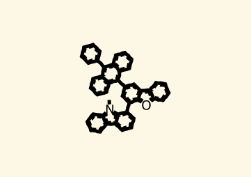 Cn1c2ccccc2c2cccc(-c3cc(-c4c5ccccc5c(-c5ccccc5)c5ccccc45)cc4c3oc3ccccc34)c21